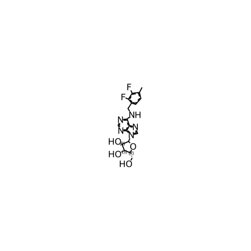 Cc1ccc(CNc2ncnc3c2ncn3C2O[C@H](CO)[C@@H](O)[C@H]2O)c(F)c1F